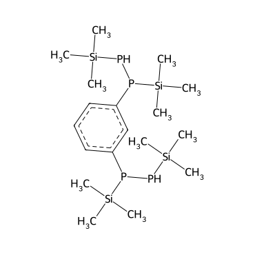 C[Si](C)(C)PP(c1cccc(P(P[Si](C)(C)C)[Si](C)(C)C)c1)[Si](C)(C)C